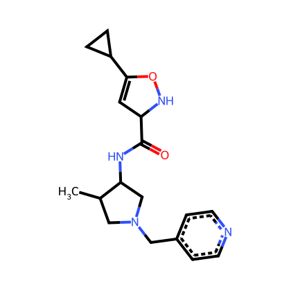 CC1CN(Cc2ccncc2)CC1NC(=O)C1C=C(C2CC2)ON1